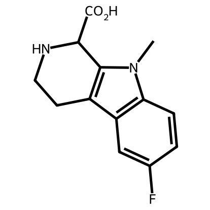 Cn1c2c(c3cc(F)ccc31)CCNC2C(=O)O